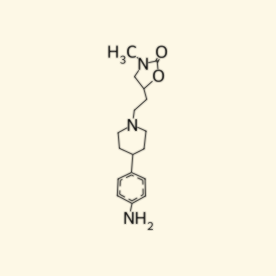 CN1CC(CCN2CCC(c3ccc(N)cc3)CC2)OC1=O